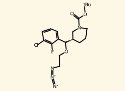 CC(C)(C)OC(=O)N1CCC[C@@H](C(OCCN=[N+]=[N-])c2cccc(Cl)c2F)C1